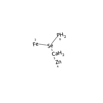 P[Se][Fe].[CaH2].[Zn]